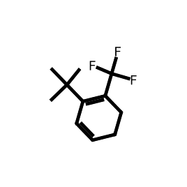 CC(C)(C)C1=C(C(F)(F)F)CCC=C1